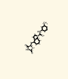 Cc1cccc(NC(=O)n2ccc3c(CC4SC(=O)NC4=O)cccc32)c1